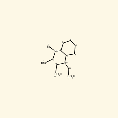 CCN(CC(C)(C)C)C1CCCCC1N(CC(=O)O)CC(=O)O